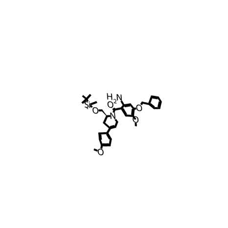 COc1ccc(C2=CCN(C(=O)c3cc(OC)c(OCc4ccccc4)cc3N)[C@H](CO[Si](C)(C)C(C)(C)C)C2)cc1